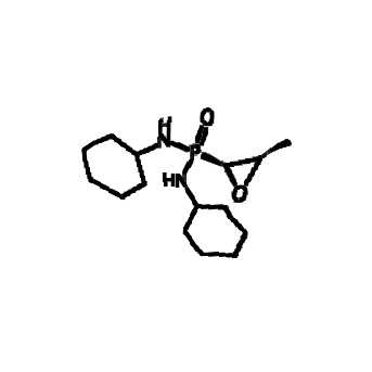 C[C@H]1O[C@H]1P(=O)(NC1CCCCC1)NC1CCCCC1